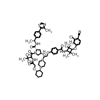 Cc1ncsc1-c1ccc([C@H](C)NC(=O)[C@@H]2C[C@@H](O)CN2C(=O)C(NC(=O)CO[C@H]2CCCC[C@@H]2N2CCN(CCOc3ccc(C(=O)NC4C(C)(C)C(Oc5ccc(C#N)c(Cl)c5)C4(C)C)cc3)CC2)C(C)(C)C)cc1